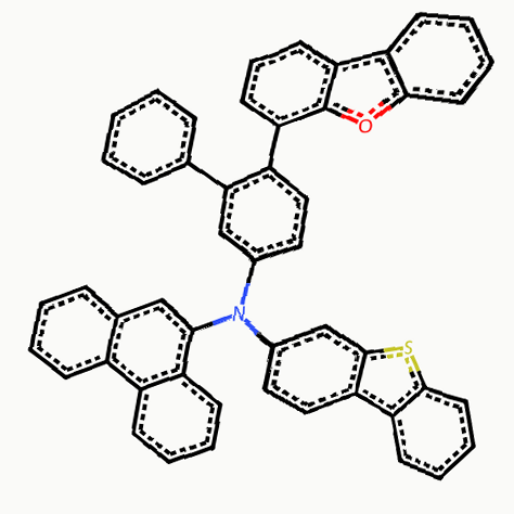 c1ccc(-c2cc(N(c3ccc4c(c3)sc3ccccc34)c3cc4ccccc4c4ccccc34)ccc2-c2cccc3c2oc2ccccc23)cc1